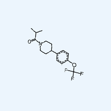 CC(C)C(=O)N1CCC(c2c[c]c(OC(F)(F)F)cc2)CC1